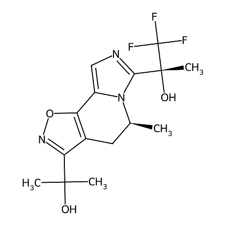 C[C@H]1Cc2c(C(C)(C)O)noc2-c2cnc([C@@](C)(O)C(F)(F)F)n21